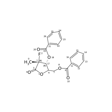 C[C@]1(F)C(=O)OC(COC(=O)c2ccccc2)[C@H]1OC(=O)c1ccccc1